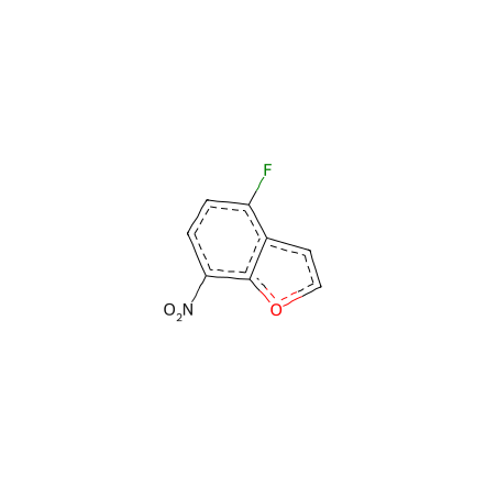 O=[N+]([O-])c1ccc(F)c2ccoc12